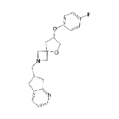 Fc1ccc(OC2COC3(C2)CN(CC2Cc4cccnc4C2)C3)cc1